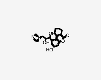 Cl.O=c1oc2cccc(C(O)C(O)Cn3ccnc3)c2c2c1CCCC2